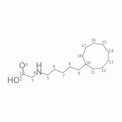 O=C(O)CNCCCCCC1CCCCCCCC1